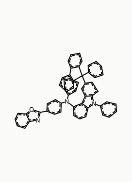 c1ccc(N(c2ccc(-c3nc4ccccc4o3)cc2)c2cccc3c2c2cc(C4(c5ccccc5)c5ccccc5-c5ccccc54)ccc2n3-c2ccccc2)cc1